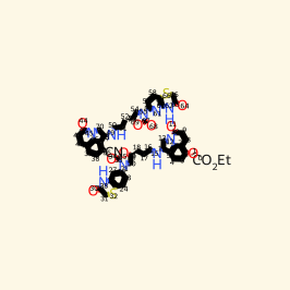 CCOC(=O)Oc1ccc2c3c1ccc(=O)n3CC2NCCC[C@H]1CN(c2ccc3c(c2)NC(=O)CS3)C(=O)O1.N#Cc1ccc2ccc(=O)n3c2c1[C@@H](NCCC[C@@H]1CN(c2ccc4c(n2)NC(=O)CS4)C(=O)O1)C3